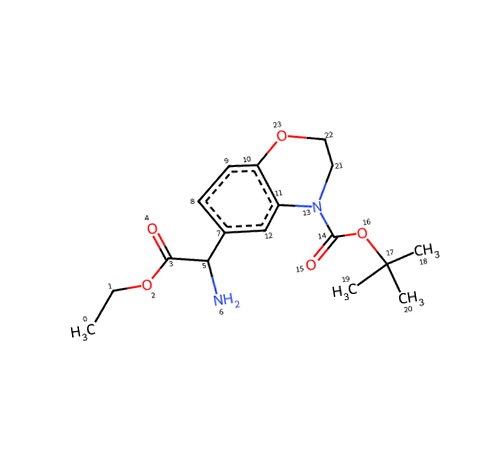 CCOC(=O)C(N)c1ccc2c(c1)N(C(=O)OC(C)(C)C)CCO2